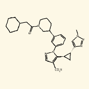 Cn1cc([C@@H]2C[C@H]2c2c(C(=O)O)cnn2-c2cccc(C3CCCN(C(=O)CC4CCCCC4)C3)c2)nn1